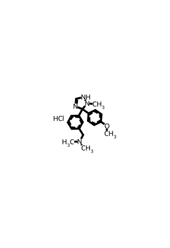 COc1ccc(C2(c3cccc(CN(C)C)c3)N=CNN2C)cc1.Cl